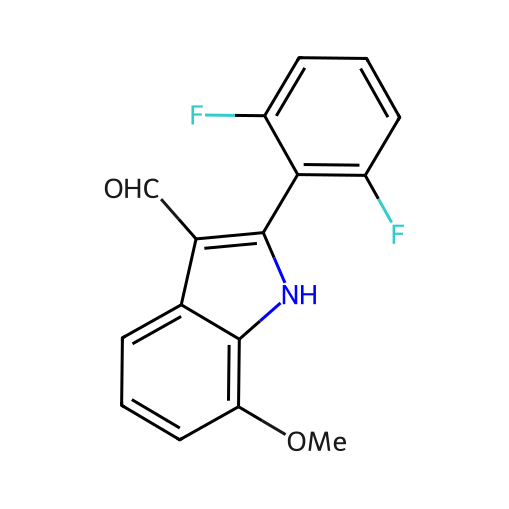 COc1cccc2c(C=O)c(-c3c(F)cccc3F)[nH]c12